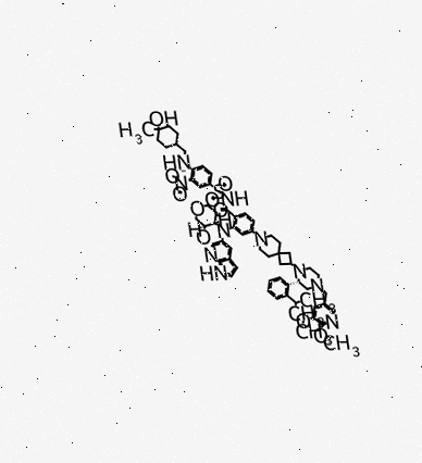 COc1cc(CN2CCN(C3CC4(CCN(c5ccc(C(=O)NS(=O)(=O)c6ccc(NCC7CCC(C)(O)CC7)c([N+](=O)[O-])c6)c(N6c7cc8cc[nH]c8nc7O[C@H]7COCC[C@@H]76)c5)CC4)C3)[C@@H](c3ccccc3C(C)C)C2)cnc1OC